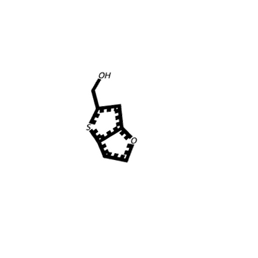 OCc1cc2occc2s1